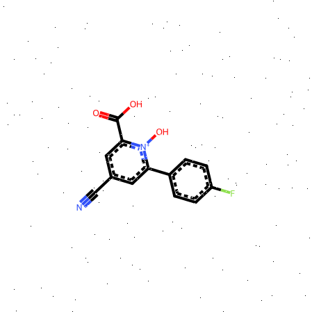 N#Cc1cc(C(=O)O)[n+](O)c(-c2ccc(F)cc2)c1